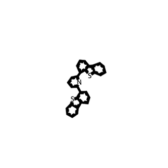 c1cc(-c2cccc3c2sc2ccccc23)nc(-c2cccc3c2sc2ccccc23)c1